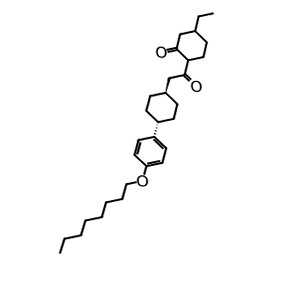 CCCCCCCCOc1ccc([C@H]2CC[C@H](CC(=O)C3CCC(CC)CC3=O)CC2)cc1